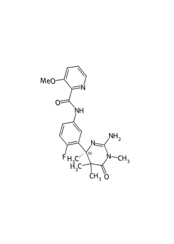 COc1cccnc1C(=O)Nc1ccc(F)c([C@@]2(C)N=C(N)N(C)C(=O)C2(C)C)c1